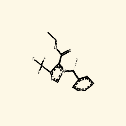 CCOC(=O)c1c(C(F)(F)F)ncn1[C@H](C)c1ccccc1